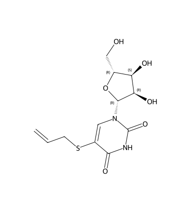 C=CCSc1cn([C@@H]2O[C@H](CO)[C@@H](O)[C@H]2O)c(=O)[nH]c1=O